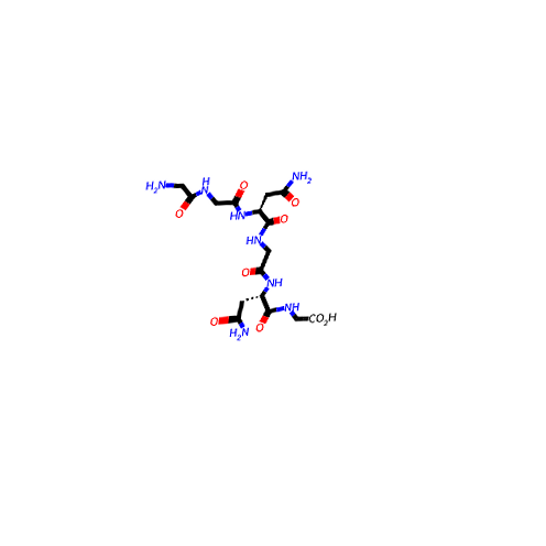 NCC(=O)NCC(=O)N[C@@H](CC(N)=O)C(=O)NCC(=O)N[C@@H](CC(N)=O)C(=O)NCC(=O)O